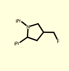 CC(C)C1CC(CF)CN1C(C)C